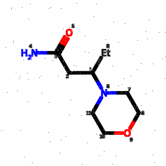 CCC(CC(N)=O)N1CCOCC1